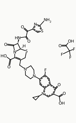 Nc1nc(C(=O)C(=O)N[C@@H]2C(=O)N3C(C(=O)O)=C(CN4CCN(c5cc6c(cc5F)c(=O)c(C(=O)O)cn6C5CC5)CC4)CS[C@H]23)cs1.O=C(O)C(F)(F)F